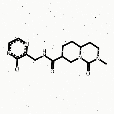 CN1CCC2CCC(C(=O)NCc3nccnc3Cl)CN2C1=O